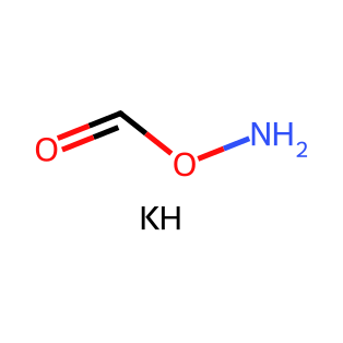 NOC=O.[KH]